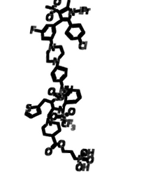 Cc1c(S(C)(=O)=O)c(-c2cc(F)cc(N3CCN(c4ccc(NS(=O)(=O)C(Cc5cccs5)C(CN5CCC(C(=O)OCCCP(=O)(O)O)CC5)N(c5ccccc5)S(=O)(=O)C(F)(F)F)cc4)CC3)c2)c(-c2ccc(Cl)cc2)n1C(C)C